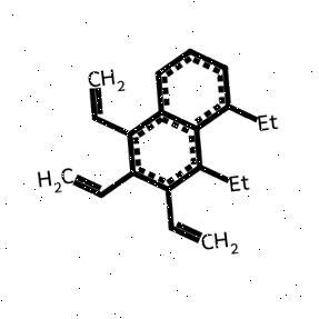 C=Cc1c(C=C)c(CC)c2c(CC)cccc2c1C=C